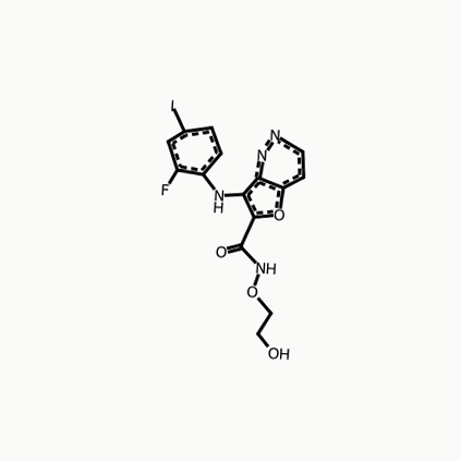 O=C(NOCCO)c1oc2ccnnc2c1Nc1ccc(I)cc1F